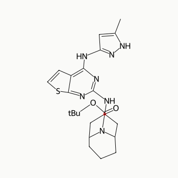 Cc1cc(Nc2nc(NC3CC4CCCC(C3)N4C(=O)OC(C)(C)C)nc3sccc23)n[nH]1